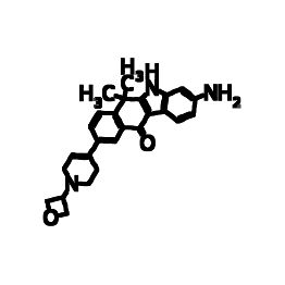 CC1(C)c2ccc(C3=CCN(C4COC4)CC3)cc2C(=O)c2c1[nH]c1cc(N)ccc21